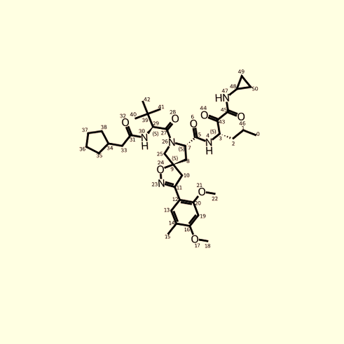 CCC[C@H](NC(=O)[C@@H]1C[C@]2(CC(c3cc(C)c(OC)cc3OC)=NO2)CN1C(=O)[C@@H](NC(=O)CC1CCCC1)C(C)(C)C)C(=O)C(=O)NC1CC1